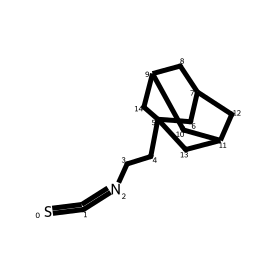 S=C=NCCC12CC3CC(CC(C3)C1)C2